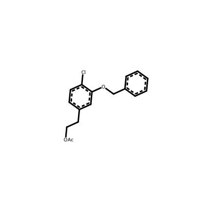 CC(=O)OCCc1ccc(Cl)c(OCc2ccccc2)c1